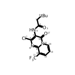 CC(C)(C)CC(=O)Nc1c(Cl)nc2c(C(F)(F)F)cccn2c1=O